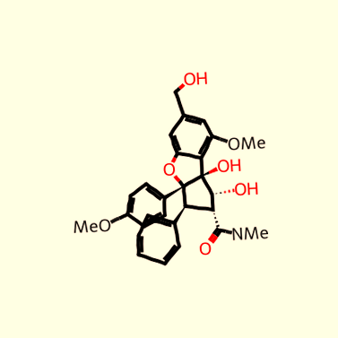 CNC(=O)[C@H]1[C@@H](O)[C@@]2(O)c3c(OC)cc(CO)cc3O[C@@]2(c2ccc(OC)cc2)[C@@H]1c1ccccc1